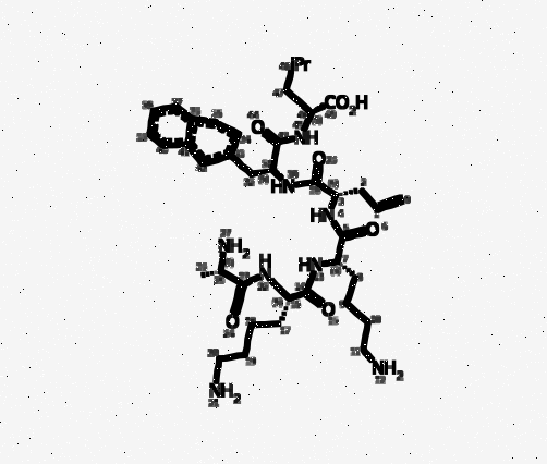 C=CC[C@H](NC(=O)[C@H](CCCCN)NC(=O)[C@H](CCCCN)NC(=O)[C@H](C)N)C(=O)N[C@@H](Cc1ccc2ccccc2c1)C(=O)N[C@@H](CC(C)C)C(=O)O